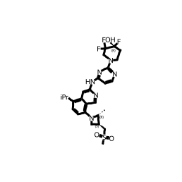 CC(C)c1ccc(N2C[C@H](CS(C)(=O)=O)[C@H]2C)c2cnc(Nc3ccnc(N4CC[C@@](O)(F)C(F)(F)C4)n3)cc12